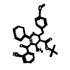 COc1ccc(CC(SCC2CCCCC2)C(C(=O)OC(C)(C)C)C(N)NC(=O)c2ccccc2O)cc1